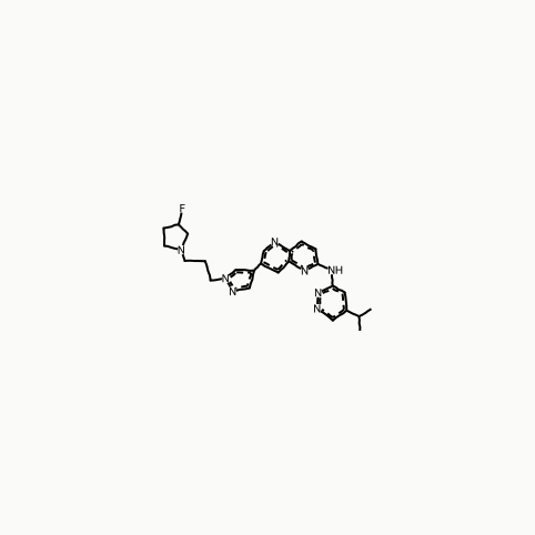 CC(C)c1cnnc(Nc2ccc3ncc(-c4cnn(CCCN5CCC(F)C5)c4)cc3n2)c1